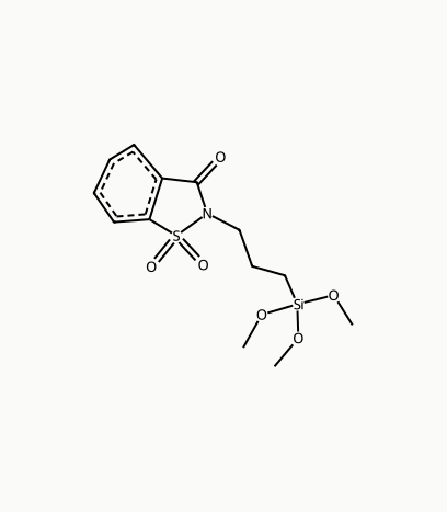 CO[Si](CCCN1C(=O)c2ccccc2S1(=O)=O)(OC)OC